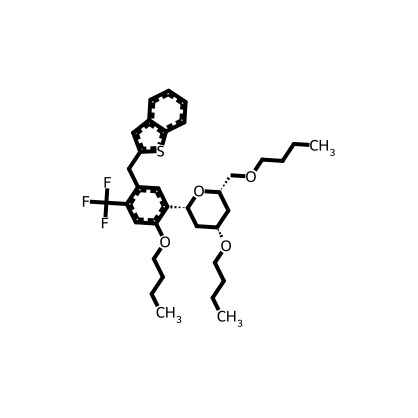 CCCCOC[C@@H]1C[C@H](OCCCC)C[C@H](c2cc(Cc3cc4ccccc4s3)c(C(F)(F)F)cc2OCCCC)O1